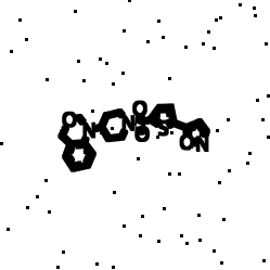 O=S(=O)(c1ccc(-c2ccno2)s1)N1CCC(N2COCc3ccccc32)CC1